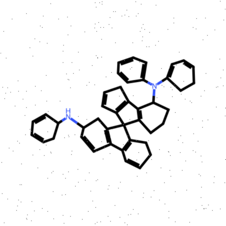 C1=CCCC(N(c2ccccc2)C2CCCC3=C2C2=C(C=CC2)C32C3=C(C=CCC3)C3=C2CC(NC2C=CC=CC2)C=C3)=C1